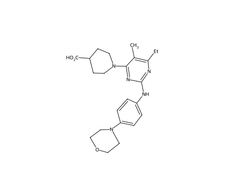 CCc1nc(Nc2ccc(N3CCOCC3)cc2)nc(N2CCC(C(=O)O)CC2)c1C